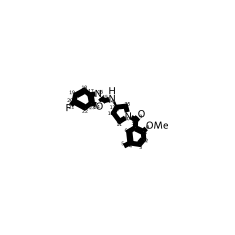 COc1ccc(C)cc1C(=O)N1CC[C@@H](Nc2nc3ccc(F)cc3o2)C1